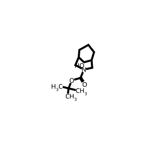 CC(C)(C)OC(=O)N1CC2CCCC(C1)C2O